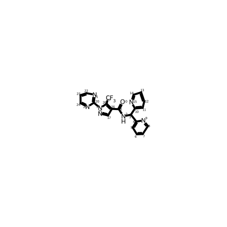 O=C(NC(c1ccccn1)c1ccccn1)c1cnn(-c2ncccn2)c1C(F)(F)F